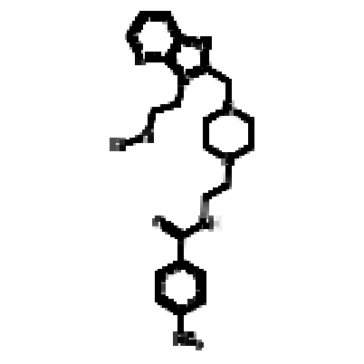 CCOCCn1c(CN2CCN(CCNC(=O)c3ccc([N+](=O)[O-])cc3)CC2)nc2cccnc21